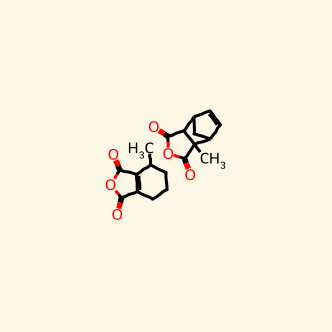 CC12C(=O)OC(=O)C1C1C=CC2C1.CC1CCCC2=C1C(=O)OC2=O